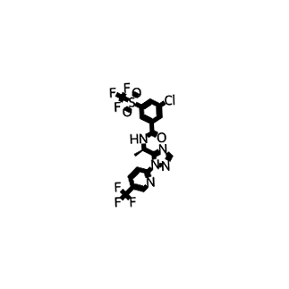 C[C@@H](NC(=O)c1cc(Cl)cc(S(=O)(=O)C(F)(F)F)c1)c1ncnn1-c1ccc(C(F)(F)F)cn1